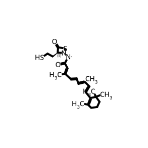 CC(C=CC1=C(C)CCCC1(C)C)=CC=CC(C)=CC(=O)[N]N1SC(=O)[C@@H]1CCS